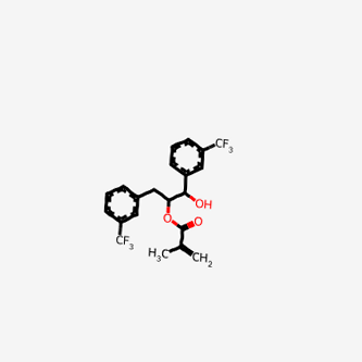 C=C(C)C(=O)OC(Cc1cccc(C(F)(F)F)c1)C(O)c1cccc(C(F)(F)F)c1